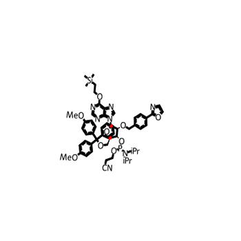 COc1ccc(C(OC[C@H]2O[C@@H](n3cnc4c(OCC[Si](C)(C)C)ncnc43)[C@H](OCc3ccc(-c4ncco4)cc3)[C@@H]2OP(OCCC#N)N(C(C)C)C(C)C)(c2ccccc2)c2ccc(OC)cc2)cc1